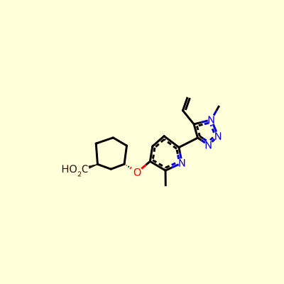 C=Cc1c(-c2ccc(O[C@H]3CCC[C@H](C(=O)O)C3)c(C)n2)nnn1C